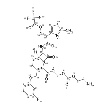 NCCOC(=O)OCOC(=O)C1=C(COc2cccc(F)c2)CS[C@H]2C(NC(=O)C(=NOC(=O)C(F)(F)F)c3csc(N)n3)C(=O)N12